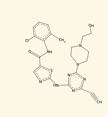 C#Cc1nc(Nc2ncc(C(=O)Nc3c(C)cccc3Cl)s2)nc(N2CCN(CCO)CC2)n1